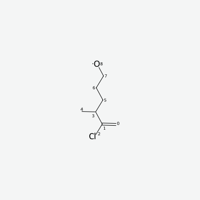 C=C(Cl)C(C)CCC[O]